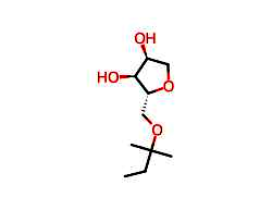 CCC(C)(C)OC[C@H]1OC[C@H](O)[C@@H]1O